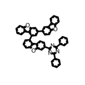 c1ccc(-c2nc(-c3ccccc3)nc(-c3ccc4c(c3)oc3cccc(-c5cc(-c6ccc7oc8ccccc8c7c6)cc6oc7ccccc7c56)c34)n2)cc1